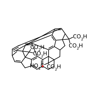 O=C(O)C1(C(=O)O)C2c3ccc4c5c3-c3c6c7c8c9c3C53C(C(=O)O)(C(=O)O)C35C(=C4)Cc3cc4c(c-9c35)C83C(CC4)(CC7CC621)C3(C(=O)O)C(=O)O